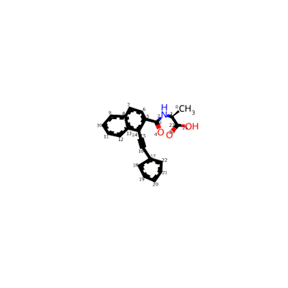 C[C@H](NC(=O)c1ccc2ccccc2c1C#Cc1ccccc1)C(=O)O